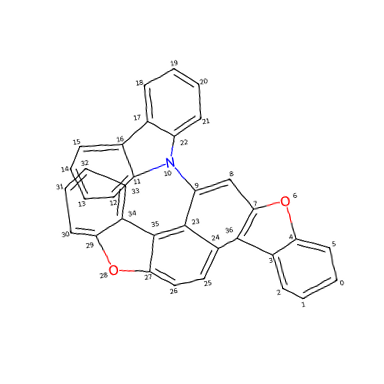 c1ccc2c(c1)oc1cc(-n3c4ccccc4c4ccccc43)c3c(ccc4oc5ccccc5c43)c12